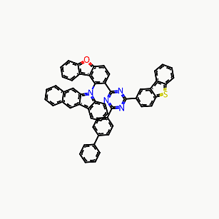 c1ccc(-c2ccc(-c3nc(-c4ccc5sc6ccccc6c5c4)nc(-c4ccc5oc6ccccc6c5c4-n4c5ccccc5c5cc6ccccc6cc54)n3)cc2)cc1